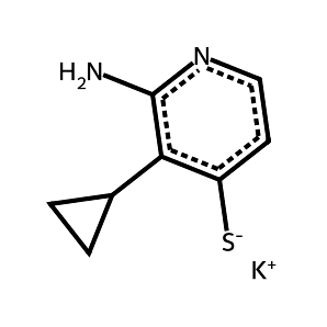 Nc1nccc([S-])c1C1CC1.[K+]